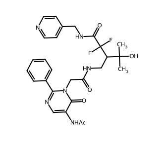 CC(=O)Nc1cnc(-c2ccccc2)n(CC(=O)NCC(C(C)(C)O)C(F)(F)C(=O)NCc2ccncc2)c1=O